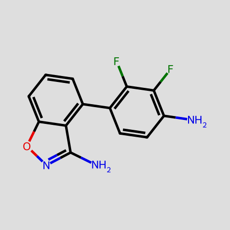 Nc1ccc(-c2cccc3onc(N)c23)c(F)c1F